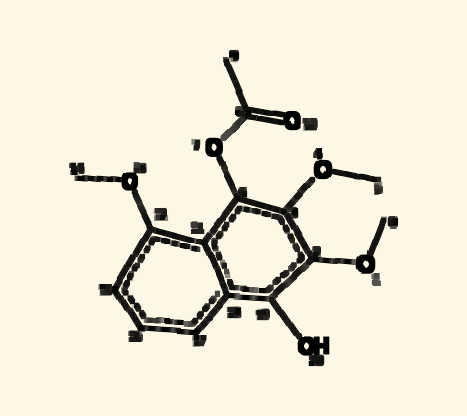 COc1c(OC)c(OC(C)=O)c2c(OC)cccc2c1O